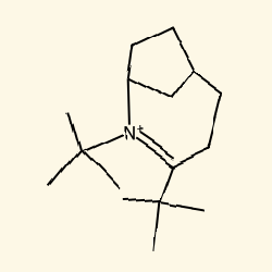 CC(C)(C)C1=[N+](C(C)(C)C)C2CCC(CC1)C2